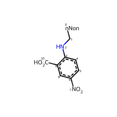 CCCCCCCCCCNc1ccc([N+](=O)[O-])cc1C(=O)O